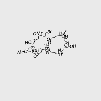 C=C1C[C@@H]2CC3(C)C[C@@H](O)CC(O3)c3coc(n3)/C=C/C[C@H]3O[C@@H](/C(C)=C/c4coc(C[C@]5(O)CC(OC)C[C@H]([C@H](O)/C=C(C)/C=C/C(C/C=C/Br)OC)O5)n4)[C@H](C)[C@@H](OC(=O)/C=C\C[C@@H](C1)O2)[C@H]3C